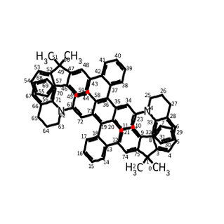 CC1(C)c2ccccc2-c2ccc(-c3ccccc3-c3c4ccc(N5CCCc6ccccc65)cc4c(-c4ccccc4-c4ccc5c(c4)C(C)(C)c4ccccc4-5)c4ccc(N5CCCc6ccccc65)cc34)cc21